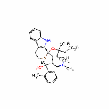 CCC(O)(c1ccccc1C)C(CN(C)C)CC1(OC(CC(=O)O)(CC(=O)O)C(=O)O)SCCc2c1[nH]c1ccccc21